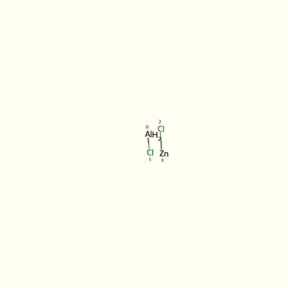 [AlH2][Cl].[Cl][Zn]